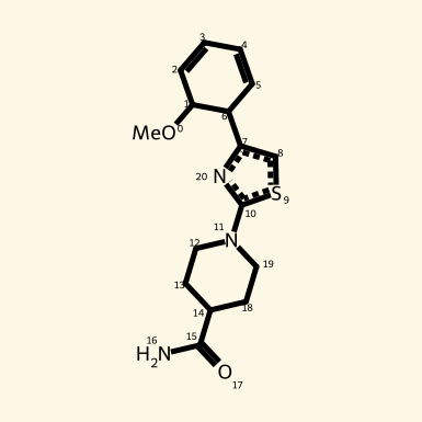 COC1C=CC=CC1c1csc(N2CCC(C(N)=O)CC2)n1